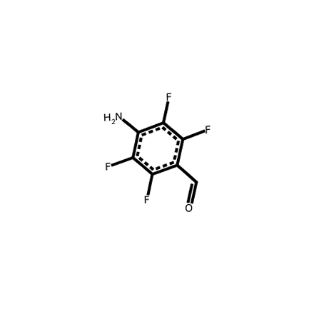 Nc1c(F)c(F)c(C=O)c(F)c1F